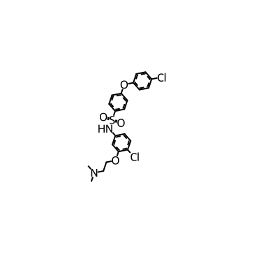 CN(C)CCOc1cc(NS(=O)(=O)c2ccc(Oc3ccc(Cl)cc3)cc2)ccc1Cl